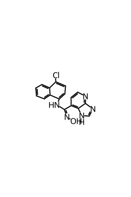 O/N=C(/Nc1ccc(Cl)c2ccccc12)c1ccnc2nc[nH]c12